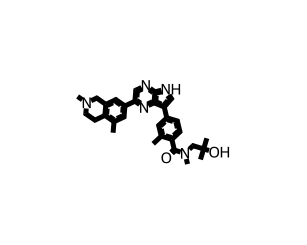 Cc1cc(-c2c[nH]c3ncc(-c4cc(C)c5c(c4)CN(C)CC5)nc23)ccc1C(=O)N(C)CC(C)(C)O